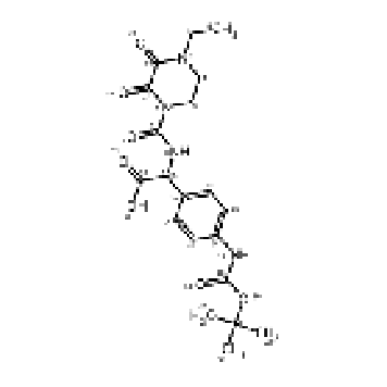 CCN1CCN(C(=O)N[C@H](C(=O)O)c2ccc(NC(=O)OC(C)(C)C)cc2)C(=O)C1=O